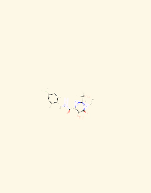 Cc1cc(Cl)ccc1CNC(=O)c1nc2n(c(=O)c1O)CCOC2(C)C